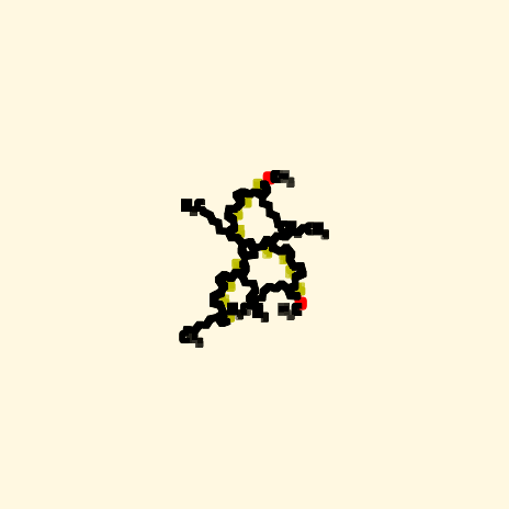 CCCCCCc1ccsc1-c1ccc(-c2ccc(-c3sc(-c4cc(-c5cc(CCCCCC)c(-c6ccc(-c7ccc(-c8sc(OC)cc8CCCCCC)s7)s6)s5)cc(-c5cc(CCCCCC)c(-c6ccc(-c7ccc(-c8sc(OC)cc8CCCCCC)s7)s6)s5)c4)cc3CCCCCC)s2)s1